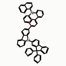 c1ccc(N(c2ccccc2-c2ccc(-c3ccc4c5ccccc5n(-c5ccc6c(c5)C(c5ccccc5)(c5ccccc5)c5ccccc5-6)c4c3)cc2)c2cccc3ccccc23)cc1